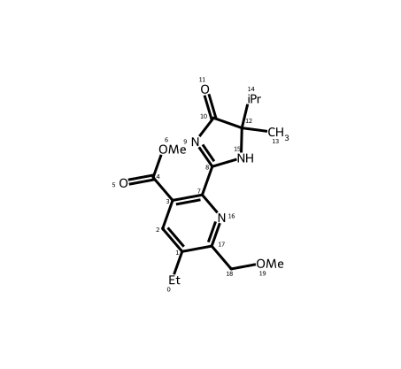 CCc1cc(C(=O)OC)c(C2=NC(=O)C(C)(C(C)C)N2)nc1COC